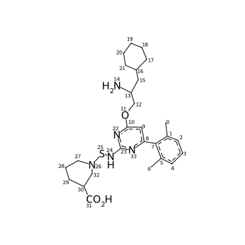 Cc1cccc(C)c1-c1cc(OCC(N)CC2CCCCC2)nc(NSN2CCCC(C(=O)O)C2)n1